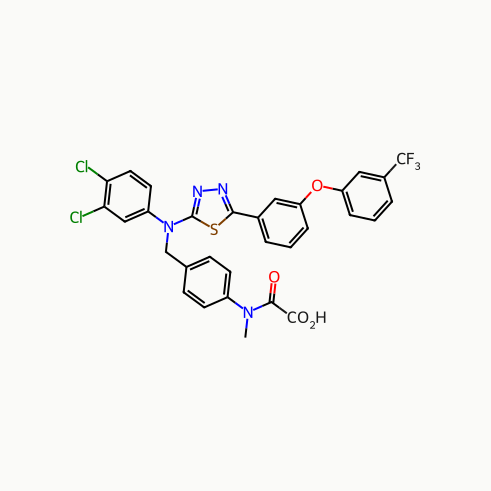 CN(C(=O)C(=O)O)c1ccc(CN(c2ccc(Cl)c(Cl)c2)c2nnc(-c3cccc(Oc4cccc(C(F)(F)F)c4)c3)s2)cc1